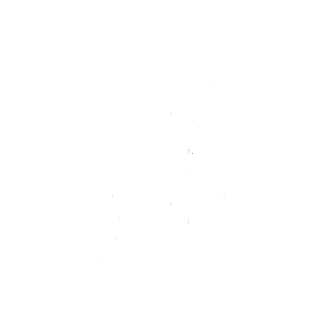 CC(Cl)Cc1cc(-c2ccc(C(F)(F)F)cc2C(F)(F)F)no1